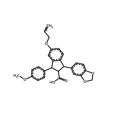 C=CCOc1ccc2c(c1)C(c1ccc(OC)cc1)C(C(=O)O)C2c1ccc2c(c1)OCO2